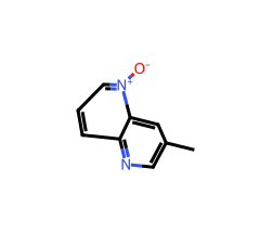 Cc1cnc2ccc[n+]([O-])c2c1